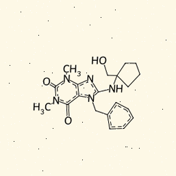 Cn1c(=O)c2c(nc(NC3(CO)CCCC3)n2Cc2ccccc2)n(C)c1=O